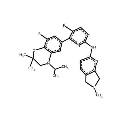 CC(C)N1CC(C)(C)Oc2c(F)cc(-c3nc(Nc4ccc5c(n4)CN(C)C5)ncc3F)cc21